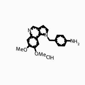 COc1cc2ncc3ccn(Cc4ccc(N)cc4)c3c2cc1OC.Cl